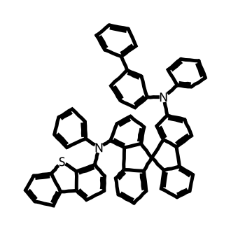 c1ccc(-c2cccc(N(c3ccccc3)c3ccc4c(c3)C3(c5ccccc5-4)c4ccccc4-c4c(N(c5ccccc5)c5cccc6c5sc5ccccc56)cccc43)c2)cc1